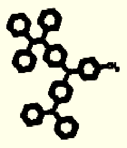 Cc1ccc(N(c2ccc(C(=C(c3ccccc3)c3ccccc3)c3ccccc3)cc2)c2ccc(N(c3ccccc3)c3ccccc3)cc2)cc1